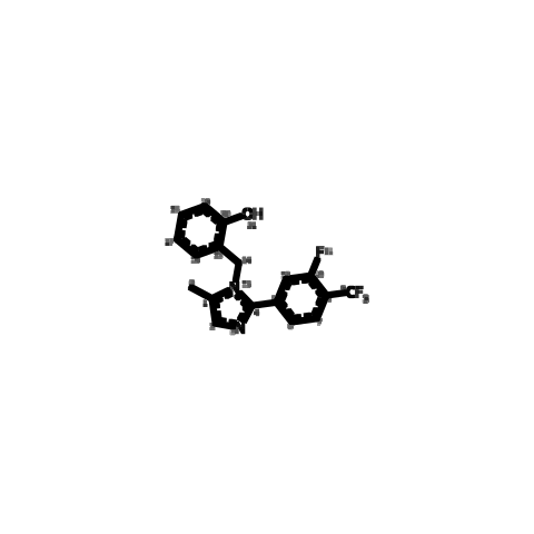 Cc1cnc(-c2ccc(C(F)(F)F)c(F)c2)n1Cc1ccccc1O